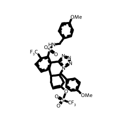 COc1ccc(CNS(=O)(=O)c2c(C(F)(F)F)ccc(C3CC=C(OS(=O)(=O)C(F)(F)F)CC3)c2-c2nnnn2Cc2ccc(OC)cc2)cc1